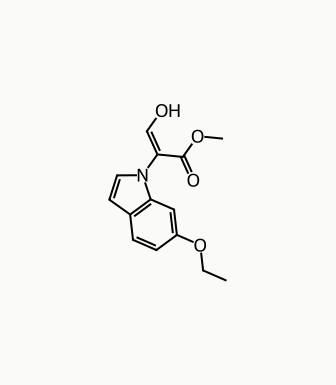 CCOc1ccc2ccn(C(=CO)C(=O)OC)c2c1